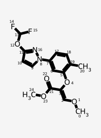 CO/C=C(\Oc1cc(-n2ccc(OC(F)F)n2)ccc1C)C(=O)OC